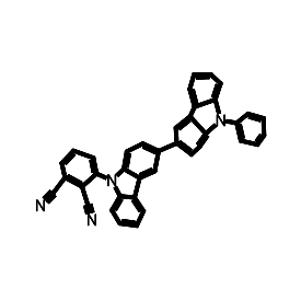 N#Cc1cccc(-n2c3ccccc3c3cc(-c4ccc5c(c4)c4ccccc4n5-c4ccccc4)ccc32)c1C#N